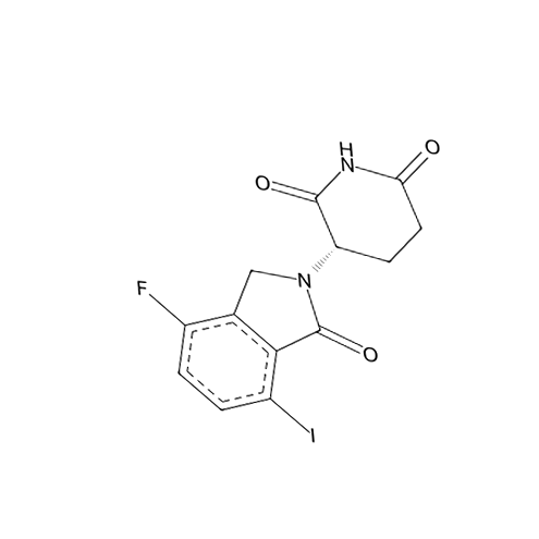 O=C1CC[C@H](N2Cc3c(F)ccc(I)c3C2=O)C(=O)N1